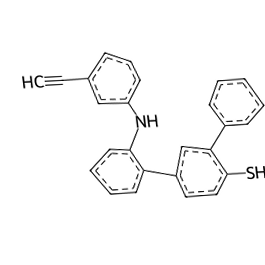 C#Cc1cccc(Nc2ccccc2-c2ccc(S)c(-c3ccccc3)c2)c1